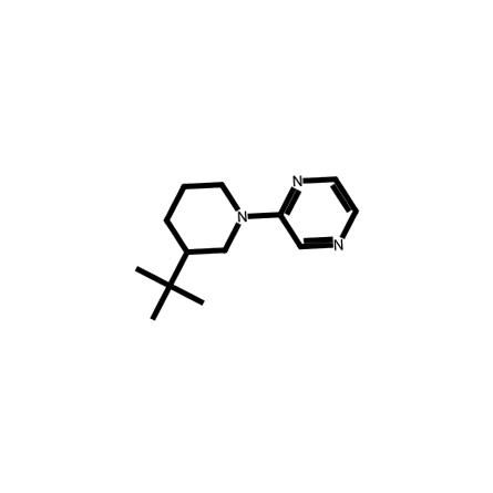 CC(C)(C)C1CCCN(c2cnccn2)C1